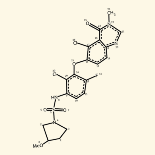 COC1CCN(S(=O)(=O)Nc2ccc(F)c(Oc3ccc4ncn(C)c(=O)c4c3Cl)c2Cl)C1